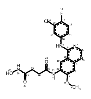 COc1cc2ncnc(Nc3ccc(F)c(Cl)c3)c2cc1NC(=O)CCC(=O)NO